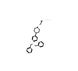 COC(=O)COC1CCC(c2ccc(N(Cc3ccccc3)Cc3ccccc3)cc2)CC1